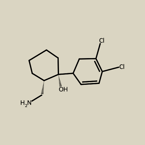 NC[C@@H]1CCCC[C@@]1(O)C1C=CC(Cl)=C(Cl)C1